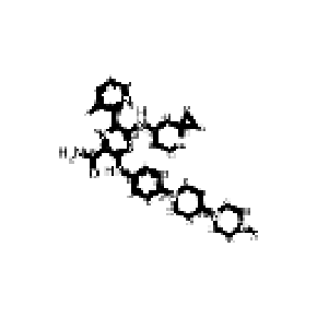 Cc1cccnc1-c1nc(C(N)=O)c(Nc2ccc(N3CCC(N4CCN(C)CC4)CC3)cc2)nc1NC1CCOC2(CC2)C1